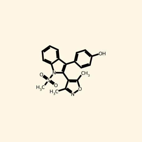 Cc1noc(C)c1-c1c(-c2ccc(O)cc2)c2ccccc2n1S(C)(=O)=O